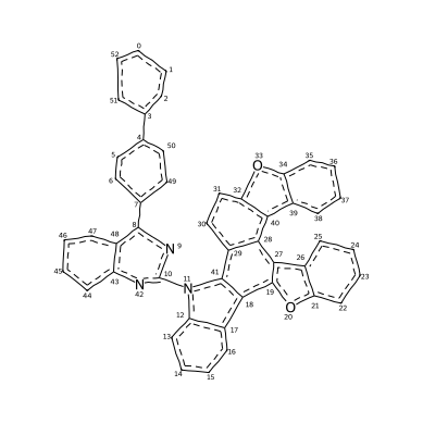 c1ccc(-c2ccc(-c3nc(-n4c5ccccc5c5c6oc7ccccc7c6c6c(ccc7oc8ccccc8c76)c54)nc4ccccc34)cc2)cc1